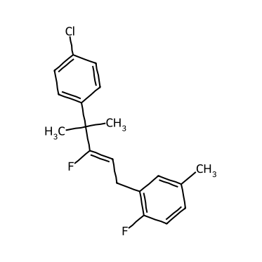 Cc1ccc(F)c(CC=C(F)C(C)(C)c2ccc(Cl)cc2)c1